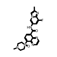 Cc1cn2cc(NC(=O)c3ccc(P4(=O)CCN(C)CC4)c4nccnc34)cc(F)c2n1